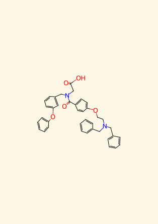 O=C(O)CN(Cc1cccc(Oc2ccccc2)c1)C(=O)c1ccc(OCCN(Cc2ccccc2)Cc2ccccc2)cc1